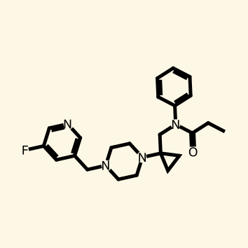 CCC(=O)N(CC1(N2CCN(Cc3cncc(F)c3)CC2)CC1)c1ccccc1